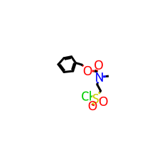 CN(CCS(=O)(=O)Cl)C(=O)OCc1ccccc1